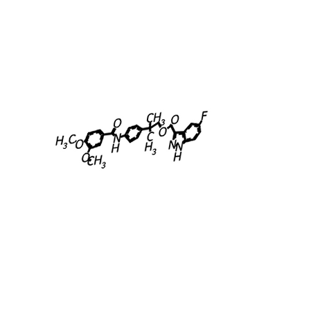 COc1ccc(C(=O)Nc2ccc(C(C)(C)COC(=O)c3n[nH]c4ccc(F)cc34)cc2)cc1OC